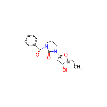 CC[C@H]1O[C@@H](N2CCCN(C(=O)c3ccccc3)C2=O)CC1O